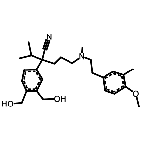 COc1ccc(CCN(C)CCCC(C#N)(c2ccc(CO)c(CO)c2)C(C)C)cc1C